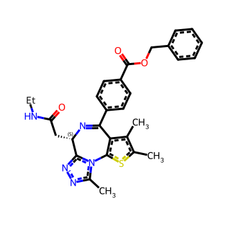 CCNC(=O)C[C@@H]1N=C(c2ccc(C(=O)OCc3ccccc3)cc2)c2c(sc(C)c2C)-n2c(C)nnc21